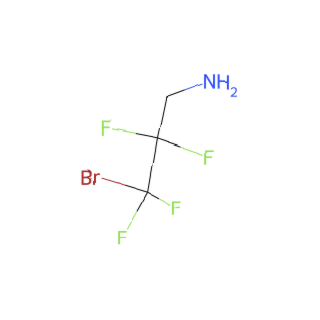 NCC(F)(F)C(F)(F)Br